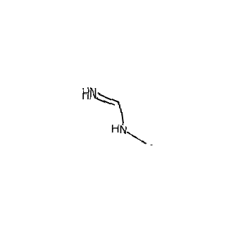 [CH2]NC=N